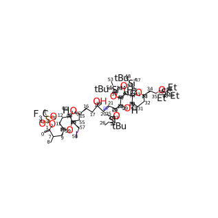 C=C(OS(=O)(=O)C(F)(F)F)C(C)C[C@H]1CC[C@@H]2O[C@@H](CCC(O)/C=C/[C@H](O[Si](C)(C)C(C)(C)C)[C@@H]3O[C@H]4CC[C@H](CCO[Si](CC)(CC)CC)O[C@@H]4[C@H](O[Si](C)(C)C(C)(C)C)[C@@H]3O[Si](C)(C)C(C)(C)C)C[C@]2(CI)O1